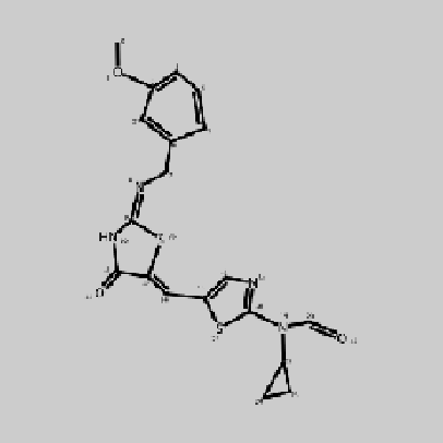 COc1cccc(C/N=C2/NC(=O)/C(=C/c3cnc(N(C=O)C4CC4)s3)S2)c1